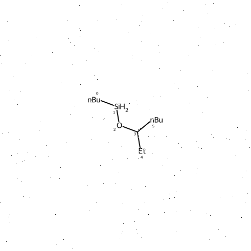 CCCC[SiH2]OC(CC)CCCC